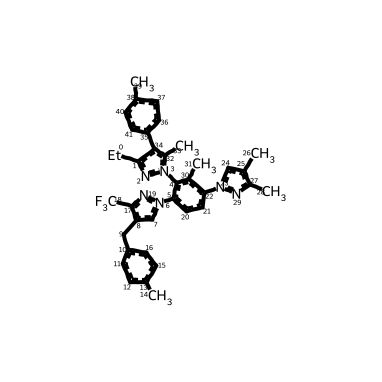 CCc1nn(-c2c(-n3cc(Cc4ccc(C)cc4)c(C(F)(F)F)n3)[c]cc(-n3cc(C)c(C)n3)c2C)c(C)c1-c1ccc(C)cc1